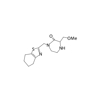 COCC1NCCN(Cc2nc3c(s2)CCCC3)C1=O